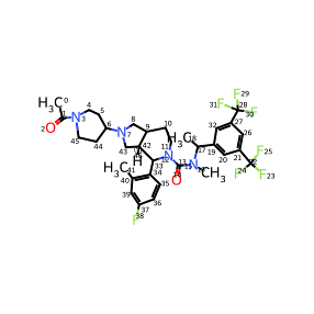 CC(=O)N1CCC(N2CC3CCN(C(=O)N(C)C(C)c4cc(C(F)(F)F)cc(C(F)(F)F)c4)C(c4ccc(F)cc4C)[C@@H]3C2)CC1